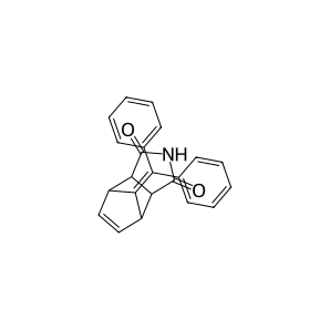 O=C1NC(=O)C2C3C=CC(C3=C(c3ccccc3)c3ccccc3)C12